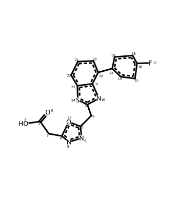 O=C(O)Cc1nnc(Cc2nc3c(-c4ccc(F)cc4)cccc3s2)o1